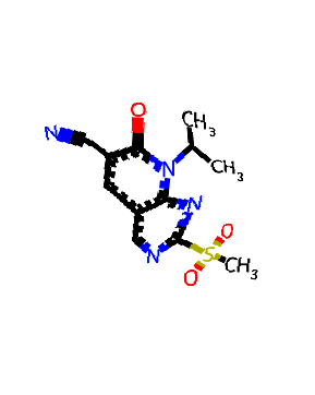 CC(C)n1c(=O)c(C#N)cc2cnc(S(C)(=O)=O)nc21